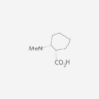 CN[C@@H]1CCCC[C@@H]1C(=O)O